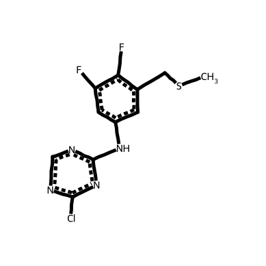 CSCc1cc(Nc2ncnc(Cl)n2)cc(F)c1F